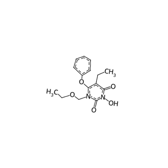 CCOCn1c(Oc2ccccc2)c(CC)c(=O)n(O)c1=O